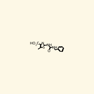 Cc1sc(NC(=O)NCc2ccccc2)nc1C(=O)O